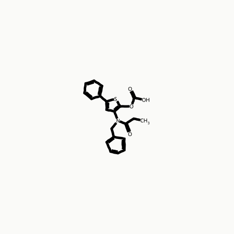 CCC(=O)N(Cc1ccccc1)c1cc(-c2ccccc2)sc1OC(=O)O